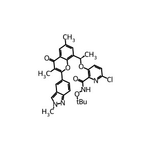 Cc1cc([C@@H](C)Oc2ccc(Cl)nc2C(=O)NOC(C)(C)C)c2oc(-c3ccc4nn(C)cc4c3)c(C)c(=O)c2c1